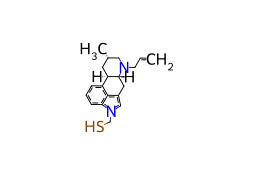 C=CCN1C[C@@H](C)C[C@@H]2c3cccc4c3c(cn4CS)C[C@H]21